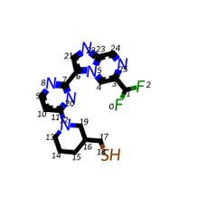 FC(F)c1cn2c(-c3nccc(N4CCCC(CS)C4)n3)cnc2cn1